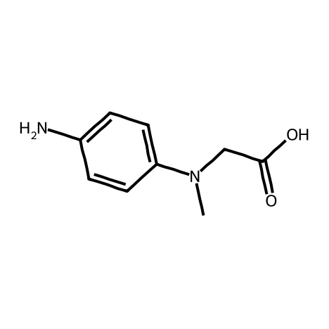 CN(CC(=O)O)c1ccc(N)cc1